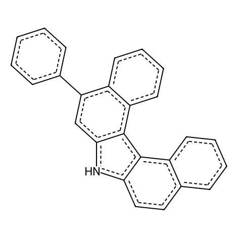 c1ccc(-c2cc3[nH]c4ccc5ccccc5c4c3c3ccccc23)cc1